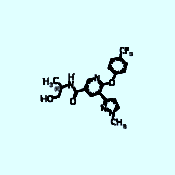 C[C@H](CO)NC(=O)c1cnc(Oc2ccc(C(F)(F)F)cc2)c(-c2ccn(C)n2)c1